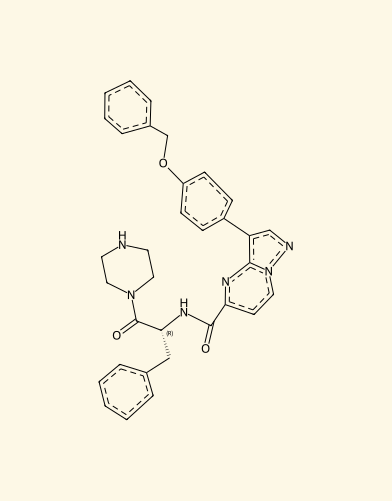 O=C(N[C@H](Cc1ccccc1)C(=O)N1CCNCC1)c1ccn2ncc(-c3ccc(OCc4ccccc4)cc3)c2n1